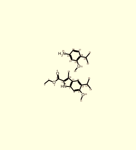 CCOC(=O)c1[nH]c2cc(OC)c(C(C)C)cc2c1C.COc1cc(N)ccc1C(C)C